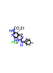 CCOC(=O)Nc1ccc(NC(=NC#N)NC2CC3CCC2C3)cn1.Cl